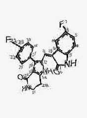 O=C1Nc2ccc(F)cc2/C1=C/c1[nH]c2c(c1-c1ccc(F)cc1)C(=O)NCC2